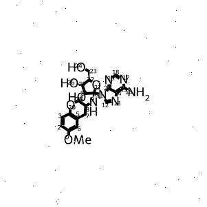 COc1ccc2c(c1)CC(N[C@@]1(n3cnc4c(N)ncnc43)O[C@H](CO)[C@@H](O)[C@H]1O)CO2